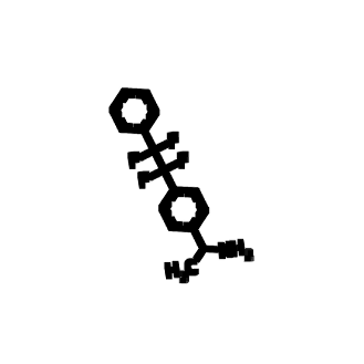 CC(N)c1ccc(C(F)(F)C(F)(F)c2ccccc2)cc1